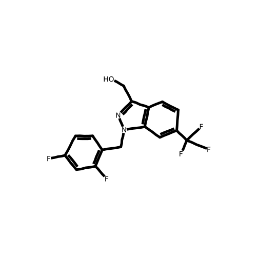 OCc1nn(Cc2ccc(F)cc2F)c2cc(C(F)(F)F)ccc12